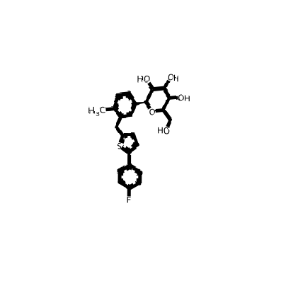 Cc1ccc([C@@H]2OC(CO)C(O)C(O)C2O)cc1Cc1ccc(-c2ccc(F)cc2)s1